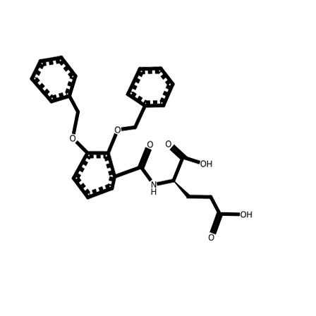 O=C(O)CC[C@@H](NC(=O)c1cccc(OCc2ccccc2)c1OCc1ccccc1)C(=O)O